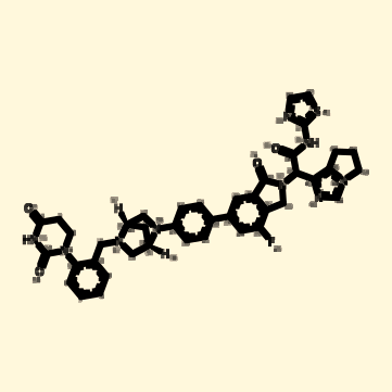 O=C1CCN(c2ccccc2CN2C[C@@H]3C[C@H]2CN3c2ccc(-c3cc(F)c4c(c3)C(=O)N(C(C(=O)Nc3nccs3)c3ncn5c3CCC5)C4)cc2)C(=O)N1